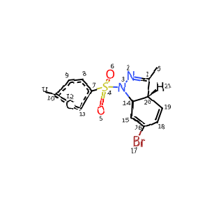 CC1=NN(S(=O)(=O)c2ccc(C)cc2)C2C=C(Br)C=C[C@@H]12